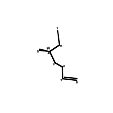 C=CCC[C@@H](C)CI